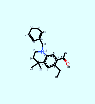 CCc1cc2c(cc1C(C)=O)N(CC1=CCCC=C1)CCC2(C)C